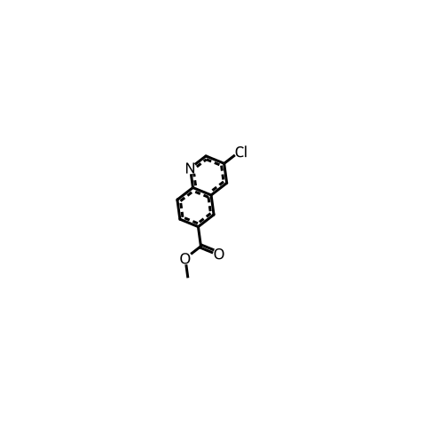 COC(=O)c1ccc2ncc(Cl)cc2c1